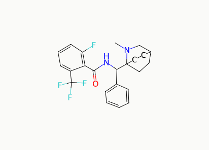 CN1CC2CCC1(C(NC(=O)c1c(F)cccc1C(F)(F)F)c1ccccc1)CC2